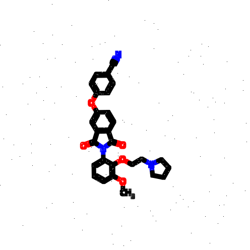 COc1cccc(N2C(=O)c3ccc(Oc4ccc(C#N)cc4)cc3C2=O)c1OCCN1CCCC1